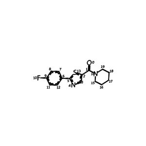 O=C(c1cnc(-c2ccc(F)cc2)s1)N1CCCCC1